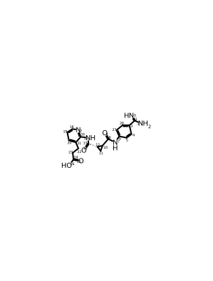 N=C(N)c1ccc(NC(=O)C2C[C@@H]2C(=O)Nc2ncccc2CCC(=O)O)cc1